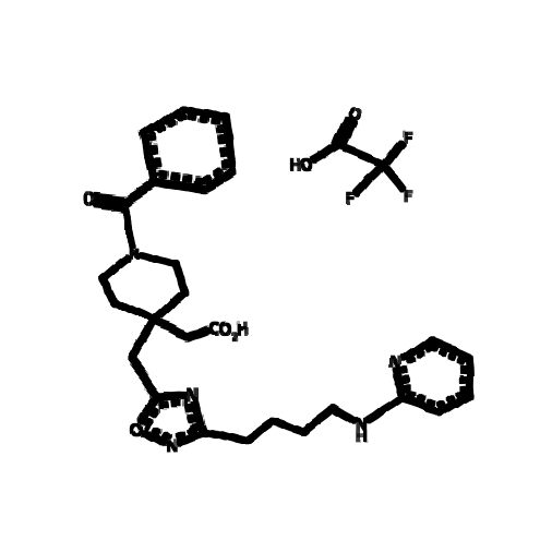 O=C(O)C(F)(F)F.O=C(O)CC1(Cc2nc(CCCCNc3ccccn3)no2)CCN(C(=O)c2ccccc2)CC1